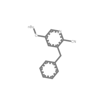 CCCCOc1cnc(C#N)c(Cc2ccccc2)c1